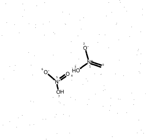 C=[N+]([O-])O.O=[N+]([O-])O